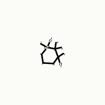 CC1(Cl)CCC[N+](C)([O-])C1(C)C